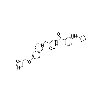 O=C(NCC(O)CN1CCc2cc(OCc3cnco3)ccc2C1)c1cccc(NC2CCC2)c1